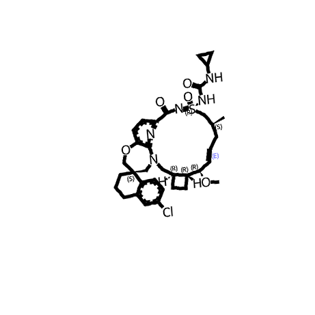 CO[C@H]1/C=C/C[C@H](C)C[S@@](=O)(NC(=O)NC2CC2)=NC(=O)c2ccc3c(n2)N(C[C@@H]2CC[C@H]21)C[C@@]1(CCCc2cc(Cl)ccc21)CO3